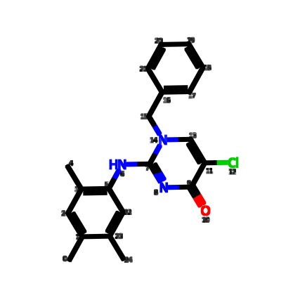 Cc1cc(C)c(Nc2nc(=O)c(Cl)cn2Cc2ccccc2)cc1C